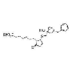 CCOC(=O)CCCCCCC1C(=O)CCC1SCC(C)(O)CCCc1ccccc1